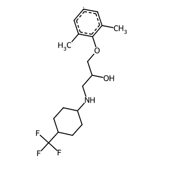 Cc1c[c]cc(C)c1OCC(O)CNC1CCC(C(F)(F)F)CC1